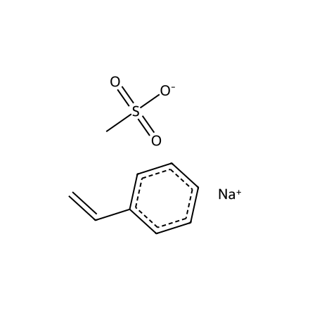 C=Cc1ccccc1.CS(=O)(=O)[O-].[Na+]